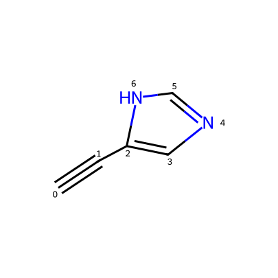 C#Cc1cnc[nH]1